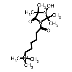 CC1(C)C(=O)N(C(=O)CCCCC[N+](C)(C)C)C(C)(C)N1O